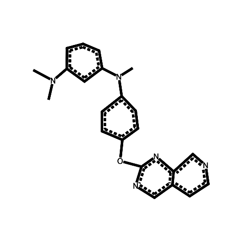 CN(C)c1cccc(N(C)c2ccc(Oc3ncc4ccncc4n3)cc2)c1